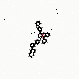 c1cc(-c2ccc(N(c3ccc(-c4ccc5c(c4)sc4ccccc45)cc3)c3ccccc3-c3cccc4ccccc34)cc2)cc(-c2ccc3ccccc3c2)c1